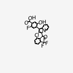 O=C(O)c1cc(O)c(-c2cc(C(=O)c3c(Cl)cccc3C(F)(F)F)n3ccccc23)cc1F